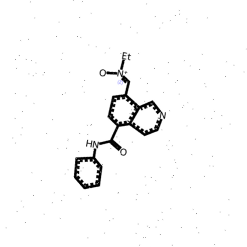 CC/[N+]([O-])=C/c1ccc(C(=O)Nc2ccccc2)c2ccncc12